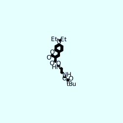 CCN(CC)c1ccc2cc(C(=O)ONCCNOC(=O)C(C)(C)C)c(=O)oc2c1